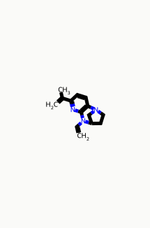 C=CN1c2nc(C(=C)C)ccc2N2CCC1C2